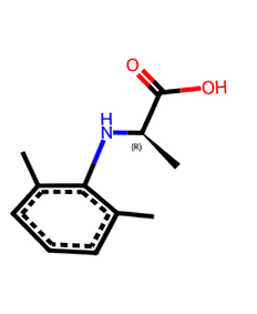 Cc1cccc(C)c1N[C@H](C)C(=O)O